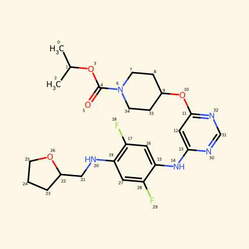 CC(C)OC(=O)N1CCC(Oc2cc(Nc3cc(F)c(NCC4CCCO4)cc3F)ncn2)CC1